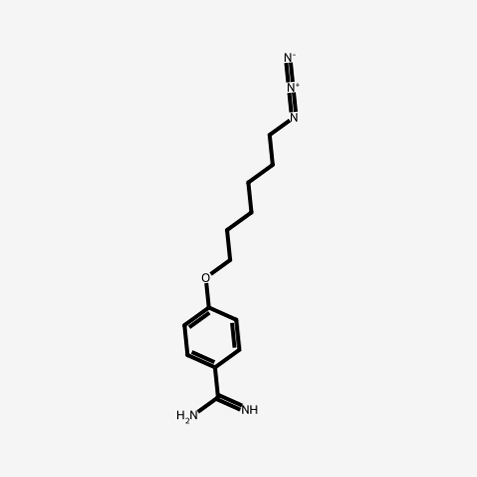 [N-]=[N+]=NCCCCCCOc1ccc(C(=N)N)cc1